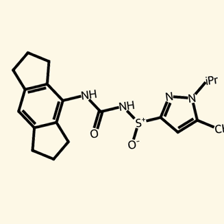 CC(C)n1nc([S+]([O-])NC(=O)Nc2c3c(cc4c2CCC4)CCC3)cc1C=O